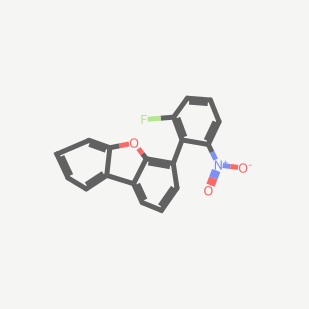 O=[N+]([O-])c1cccc(F)c1-c1cccc2c1oc1ccccc12